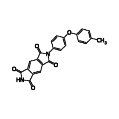 Cc1ccc(Oc2ccc(-n3c(=O)c4cc5c(=O)[nH]c(=O)c5cc4c3=O)cc2)cc1